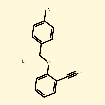 C#Cc1ccccc1OCc1ccc(C#N)cc1.[Li]